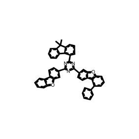 CC1(C)c2ccccc2-c2c(-c3nc(-c4ccc5c(c4)oc4ccccc45)nc(-c4ccc5c(c4)oc4cccc(-c6ccccc6)c45)n3)cccc21